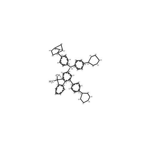 CC1(C)c2ccccc2-c2c(-c3ccc(C4CCCCC4)cc3)cc(N(c3ccc(C4CCCCC4)cc3)c3ccc(C45CCC(CC4)C5)cc3)cc21